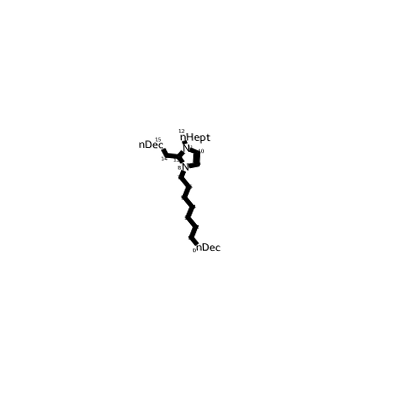 CCCCCCCCCCCCCCCCCN1C=CN(CCCCCCC)C1CCCCCCCCCCC